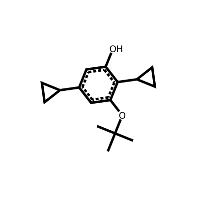 CC(C)(C)Oc1cc(C2CC2)cc(O)c1C1CC1